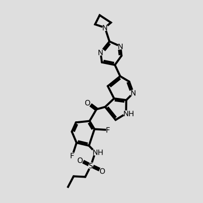 CCCS(=O)(=O)Nc1c(F)ccc(C(=O)c2c[nH]c3ncc(-c4cnc(N5CCC5)nc4)cc23)c1F